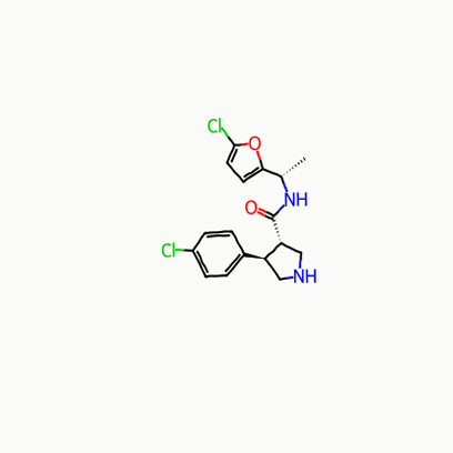 C[C@H](NC(=O)[C@@H]1CNC[C@H]1c1ccc(Cl)cc1)c1ccc(Cl)o1